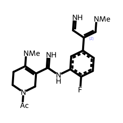 CN/C=C(\C=N)c1ccc(F)c(NC(=N)C2=C(NC)CCN(C(C)=O)C2)c1